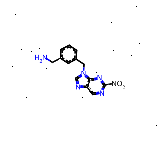 NCc1cccc(Cn2cnc3cnc([N+](=O)[O-])nc32)c1